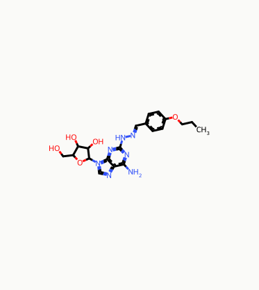 CCCOc1ccc(/C=N/Nc2nc(N)c3ncn(C4OC(CO)C(O)C4O)c3n2)cc1